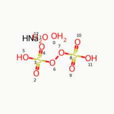 O.O.O=S(=O)(O)OOS(=O)(=O)O.[NaH]